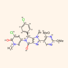 COc1ncc(-c2nc3c(n2C(C)C)[C@H](c2ccc(Cl)cc2)N(c2cc(Cl)c(=O)n(C)c2)C3=O)c(OC)n1